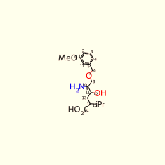 COc1cccc(COCC(N)C(O)CC(C(=O)O)C(C)C)c1